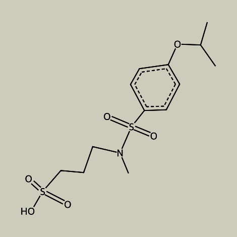 CC(C)Oc1ccc(S(=O)(=O)N(C)CCCS(=O)(=O)O)cc1